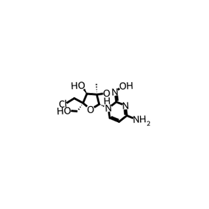 C[C@@]1(O)[C@H](O)[C@](CO)(CCl)O[C@H]1n1ccc(N)n/c1=N\O